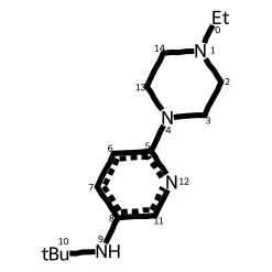 CCN1CCN(c2ccc(NC(C)(C)C)cn2)CC1